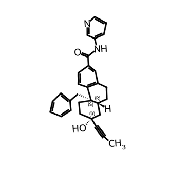 CC#C[C@@]1(O)CC[C@@]2(Cc3ccccc3)c3ccc(C(=O)Nc4cccnc4)cc3CC[C@@H]2C1